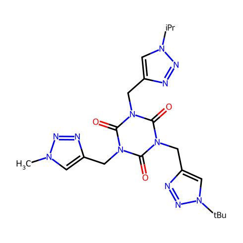 CC(C)n1cc(Cn2c(=O)n(Cc3cn(C)nn3)c(=O)n(Cc3cn(C(C)(C)C)nn3)c2=O)nn1